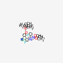 CC(C)(C)OC(=O)N1CCN2c3cc(F)c(Cl)c(-c4c(C#N)ccc(OCCO[Si](C)(C)C(C)(C)C)c4F)c3CC2(c2ccccc2)C1